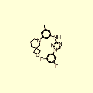 Cc1cc(Nc2ncn(-c3cc(F)cc(F)c3)n2)cc(N2CCCC3(COC3)C2)c1